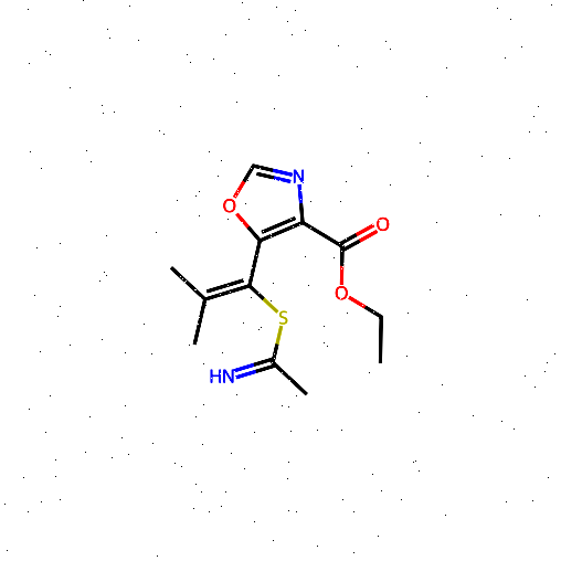 CCOC(=O)c1ncoc1C(SC(C)=N)=C(C)C